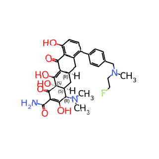 CN(CCF)Cc1ccc(-c2ccc(O)c3c2C[C@H]2C[C@H]4[C@@H](N(C)C)C(O)=C(C(N)=O)C(=O)[C@@]4(O)C(O)=C2C3=O)cc1